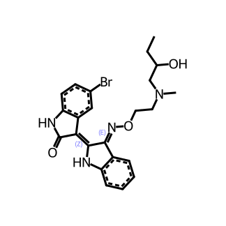 CCC(O)CN(C)CCO/N=C1/C(=C2/C(=O)Nc3ccc(Br)cc32)Nc2ccccc21